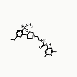 CCc1ccc(S(N)(=O)=O)c(C2CCN(CCNC(=O)Nc3cc(C)nc(C)c3)CC2)c1